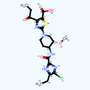 CCC(=O)c1nc(N2CCC(NC(=O)c3nc(Cl)c(CC)[nH]3)[C@@H](OC)C2)sc1C(=O)O